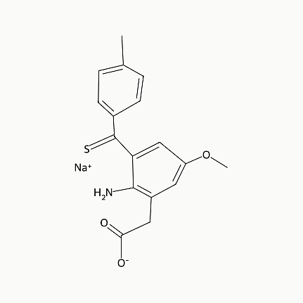 COc1cc(CC(=O)[O-])c(N)c(C(=S)c2ccc(C)cc2)c1.[Na+]